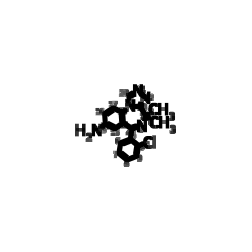 CC1(C)N=C(c2ccccc2Cl)c2cc(N)ccc2-n2cnnc21